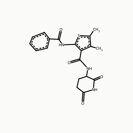 Cc1sc(NC(=O)c2ccccc2)c(C(=O)NC2CCC(=O)NC2=O)c1C